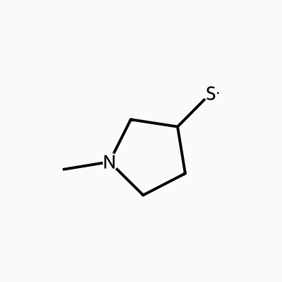 CN1CCC([S])C1